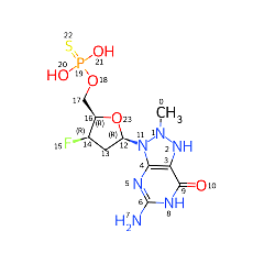 CN1Nc2c(nc(N)[nH]c2=O)N1[C@H]1C[C@@H](F)[C@@H](COP(O)(O)=S)O1